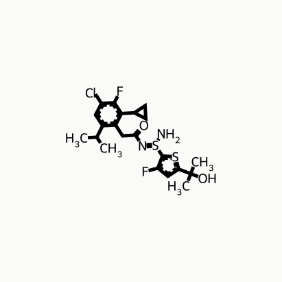 CC(C)c1cc(Cl)c(F)c(C2CC2)c1CC(=O)/N=S(\N)c1sc(C(C)(C)O)cc1F